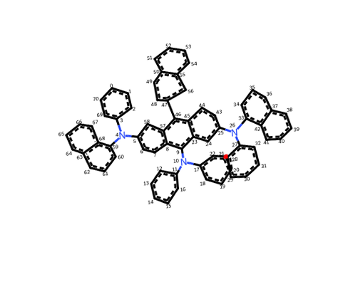 c1ccc(N(c2ccc3c(N(c4ccccc4)c4ccccc4)c4cc(N(c5ccccc5)c5cccc6ccccc56)ccc4c(-c4ccc5ccccc5c4)c3c2)c2cccc3ccccc23)cc1